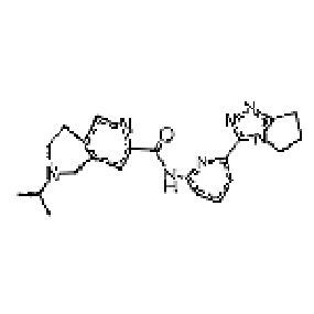 CC(C)N1CCc2cnc(C(=O)Nc3cccc(-c4nnc5n4CCC5)n3)cc2C1